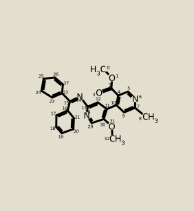 COC(=O)c1cnc(C)cc1-c1cc(N=C(c2ccccc2)c2ccccc2)ncc1OC